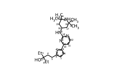 CCC(O)(CC)CCc1ccc(-c2ccnc(NC3CC(C)(C)NC(C)(C)C3)n2)s1